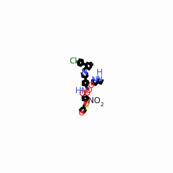 CC1(C)CCC(CN2CC=C(c3ccc(C(=O)NS(=O)(=O)c4ccc(OCC5(F)CCOCC5)c([N+](=O)[O-])c4)c(Oc4cnc5[nH]ccc5c4)c3)CC2)=C(c2ccc(Cl)cc2)C1